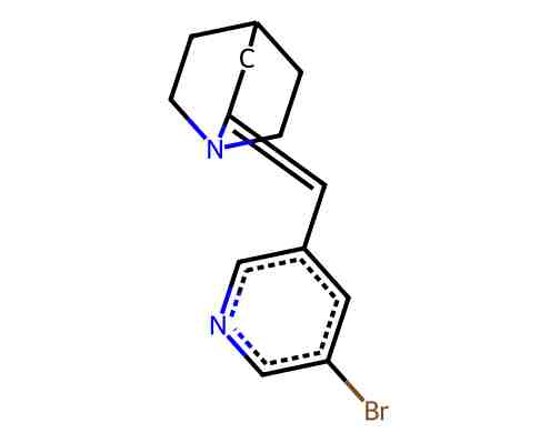 Brc1cncc(/C=C2/CC3CCN2CC3)c1